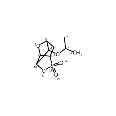 CC(I)OC1C2CC3C(O2)C1OS3(=O)=O